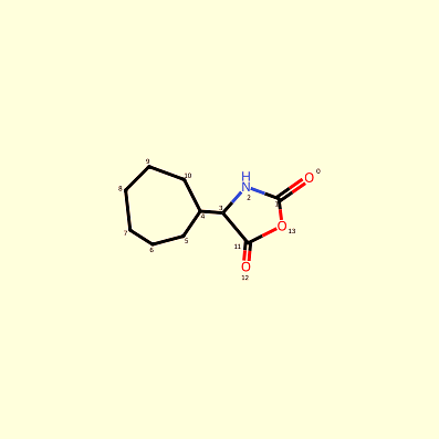 O=C1NC(C2CCCCCC2)C(=O)O1